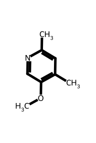 COc1cnc(C)cc1C